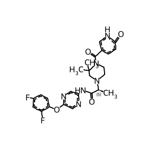 C[C@@H](C(=O)Nc1cnc(Oc2ccc(F)cc2F)cn1)N1CCN(C(=O)c2ccc(=O)[nH]c2)C(C)(C)C1